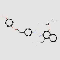 COC(C)Oc1cc(N=Nc2ccc(CCOc3ccc(O)cc3)cc2)c(CC(=O)O)c2ccccc12